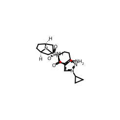 NC1CCN(S(=O)(=O)N2[C@@H]3CC[C@H]2C[C@H](NC(=O)c2cnn(C4CC4)c2)C3)CC1